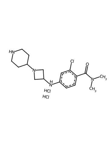 CN(C)C(=O)c1ccc(NC2CN(C3CCNCC3)C2)cc1Cl.Cl.Cl